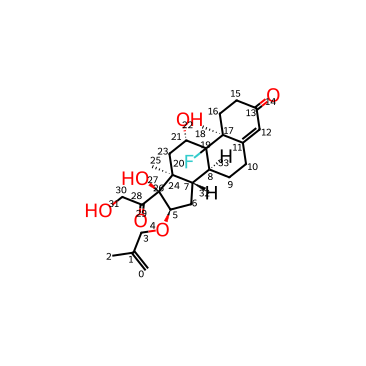 C=C(C)CO[C@@H]1C[C@H]2[C@@H]3CCC4=CC(=O)CC[C@]4(C)C3(F)[C@@H](O)C[C@]2(C)[C@@]1(O)C(=O)CO